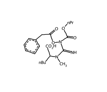 CCCCC(C(=O)O)N(C)C(=N)N(OC(=O)Cc1ccccc1)C(=O)OCCC